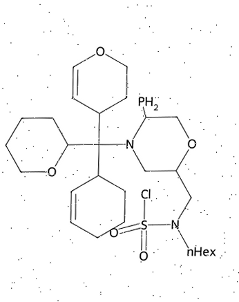 CCCCCCN(CC1CN(C(C2C=CCCC2)(C2C=COCC2)C2CCCCO2)C(P)CO1)S(=O)(=O)Cl